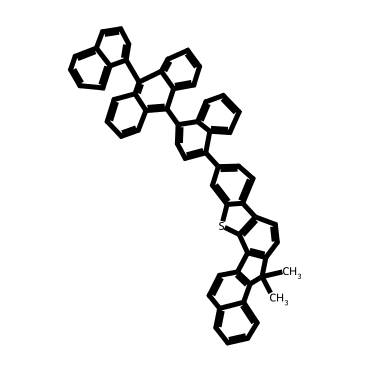 CC1(C)c2ccc3c(sc4cc(-c5ccc(-c6c7ccccc7c(-c7cccc8ccccc78)c7ccccc67)c6ccccc56)ccc43)c2-c2ccc3ccccc3c21